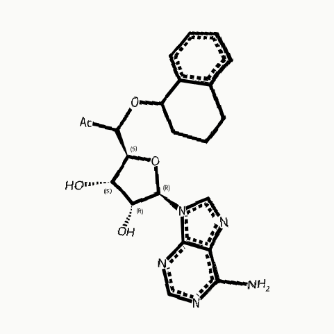 CC(=O)C(OC1CCCc2ccccc21)[C@H]1O[C@@H](n2cnc3c(N)ncnc32)[C@H](O)[C@@H]1O